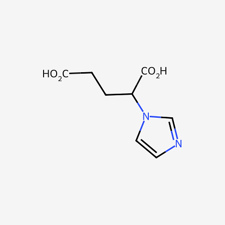 O=C(O)CCC(C(=O)O)n1ccnc1